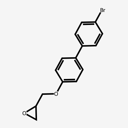 Brc1ccc(-c2ccc(OCC3CO3)cc2)cc1